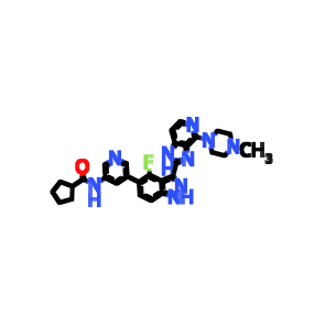 CN1CCN(c2nccc3[nH]c(-c4n[nH]c5ccc(-c6cncc(NC(=O)C7CCCC7)c6)c(F)c45)nc23)CC1